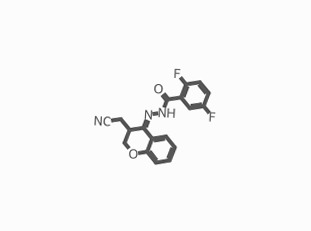 N#CCC1COc2ccccc2/C1=N\NC(=O)c1cc(F)ccc1F